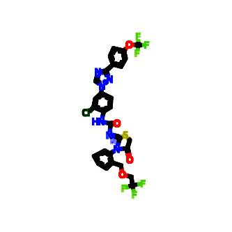 O=C(/N=C1\SCC(=O)N1c1ccccc1COCC(F)(F)F)Nc1ccc(-n2cnc(-c3ccc(OC(F)(F)F)cc3)n2)cc1Cl